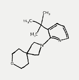 CC(C)(C)c1cccnc1N1CC2(CCOCC2)C1